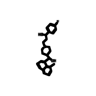 Cc1cccc2cccc(C(O)C3CCN(CCC(O)c4ccc(F)cc4)CC3)c12